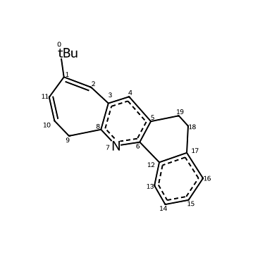 CC(C)(C)C1=Cc2cc3c(nc2CC=C1)-c1ccccc1CC3